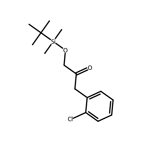 CC(C)(C)[Si](C)(C)OCC(=O)Cc1ccccc1Cl